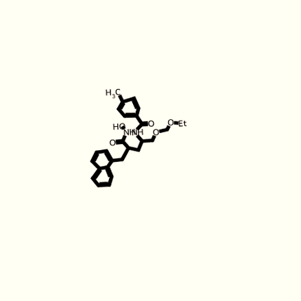 CCOCOCC(CC(Cc1cccc2ccccc12)C(=O)NO)NC(=O)c1ccc(C)cc1